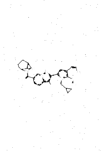 C=Nc1c(/C=C\C)cc(-c2nn3cc(C(=O)N4CC5CCC4[C@@H]5N)ccc3c2C)n1CC1CC1